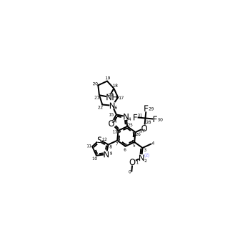 CO/N=C(/C)c1cc(-c2nccs2)c2oc(N3CC4CCC(C3)N4)nc2c1OC(F)(F)F